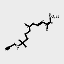 C#CCOC(C)(C)CCCC(C)CC=CC(C)=CC(=O)OCC